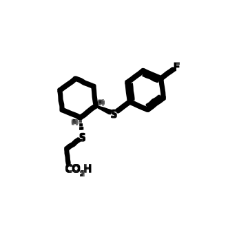 O=C(O)CS[C@@H]1CCCC[C@H]1Sc1ccc(F)cc1